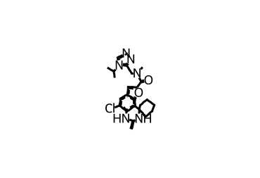 C=C1Nc2c(Cl)cc3cc(C(=O)N(C)Cc4nncn4C(C)C)oc3c2C2(CCCCC2)N1